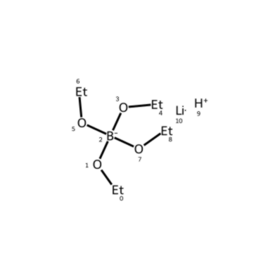 CCO[B-](OCC)(OCC)OCC.[H+].[Li]